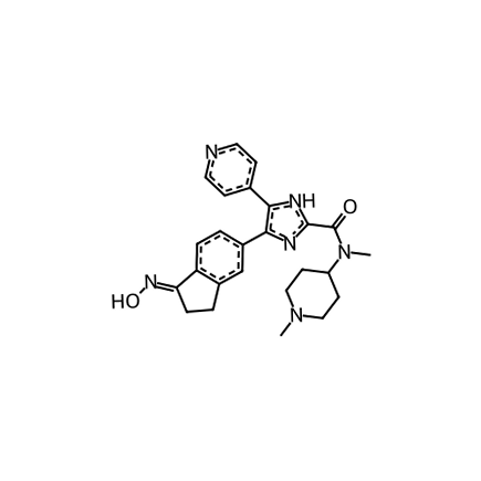 CN1CCC(N(C)C(=O)c2nc(-c3ccc4c(c3)CCC4=NO)c(-c3ccncc3)[nH]2)CC1